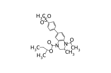 CCC(C)OC(=O)N1C[C@H](C)N(C(C)=O)c2ccc(-c3ccc(S(C)(=O)=O)cc3)cc21